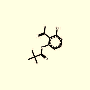 CC(=O)c1c(O)cccc1OC(=O)C(C)(C)C